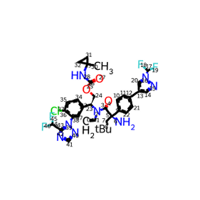 C=CN(C(=O)[C@@](N)(CC(C)(C)C)c1ccc(-c2cnn(C(F)F)c2)cc1)[C@H](COC(=O)NC1(C)CC1)c1ccc(Cl)c(-n2ncnc2C(F)F)c1